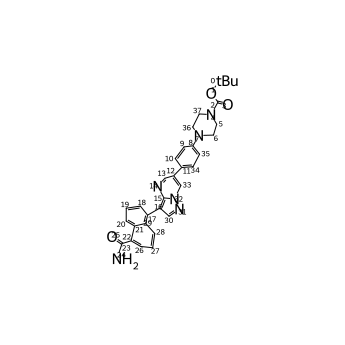 CC(C)(C)OC(=O)N1CCN(c2ccc(-c3cnc4c(-c5cccc6c(C(N)=O)cccc56)cnn4c3)cc2)CC1